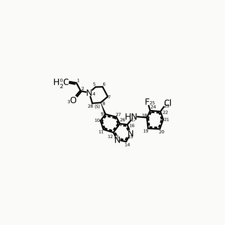 C=CC(=O)N1CCC[C@@H](c2ccc3ncnc(Nc4cccc(Cl)c4F)c3c2)C1